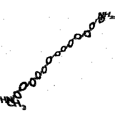 CNCCOCCOCCOCCOCCOCCOCCOCCOCCOCCOCCOCCOCCC(N)=O